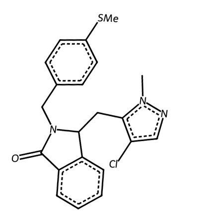 CSc1ccc(CN2C(=O)c3ccccc3C2Cc2c(Cl)cnn2C)cc1